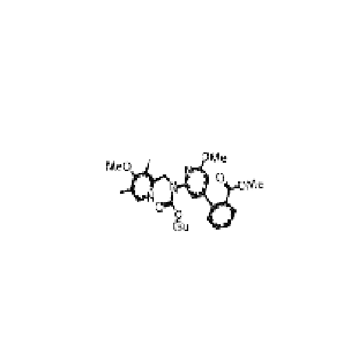 COC(=O)c1ccccc1-c1cc(OC)nc(N(Cc2ncc(C)c(OC)c2C)C(=O)OC(C)(C)C)c1